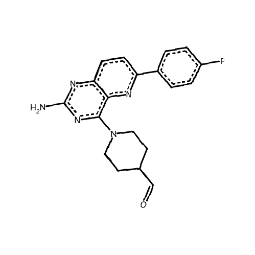 Nc1nc(N2CCC(C=O)CC2)c2nc(-c3ccc(F)cc3)ccc2n1